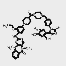 CCOc1cc(N2CCC(C(=O)N3CCN(Cc4ccc(-n5c(O)nnc5-c5cc(C)c(O)cc5O)cc4)CC3)CC2)ccc1Nc1ncc2c(n1)N(C)c1ccccc1C(=O)N2C